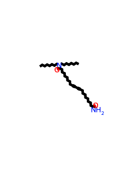 CCCCCCCCN(CCCCCCCC)C(=O)CCCCCCCCC#CC#CCCCCCCCCC(N)=O